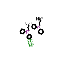 [Cl-].[Cl-].[Cl-].[Cl-].[Ni+2][CH2]CCP(c1ccccc1)c1ccccc1.[Ni+2][CH2]CCP(c1ccccc1)c1ccccc1